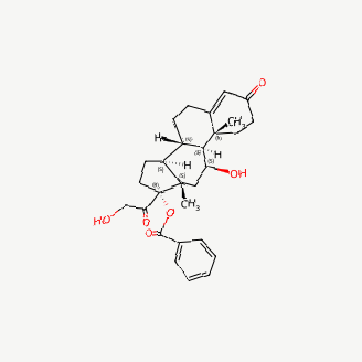 C[C@]12CCC(=O)C=C1CC[C@@H]1[C@@H]2[C@@H](O)C[C@@]2(C)[C@H]1CC[C@]2(OC(=O)c1ccccc1)C(=O)CO